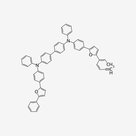 C#C/C=C\C(=C/C)c1ccc(-c2ccc(N(c3ccccc3)c3ccc(-c4ccc(N(c5ccccc5)c5ccc(-c6ccc(-c7ccccc7)o6)cc5)cc4)cc3)cc2)o1